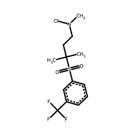 CN(Cl)CCC(C)(C)S(=O)(=O)c1cccc(C(F)(F)F)c1